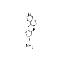 NCCc1ccc(Cc2cccc3cnccc23)c(F)c1